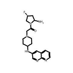 NC1C[C@H](F)CN1C(=O)CN1CCC(Nc2cnc3ncccc3c2)CC1